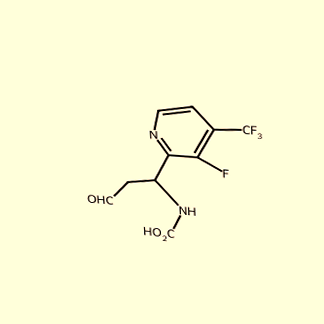 O=CCC(NC(=O)O)c1nccc(C(F)(F)F)c1F